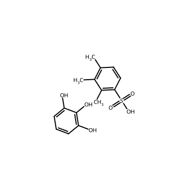 Cc1ccc(S(=O)(=O)O)c(C)c1C.Oc1cccc(O)c1O